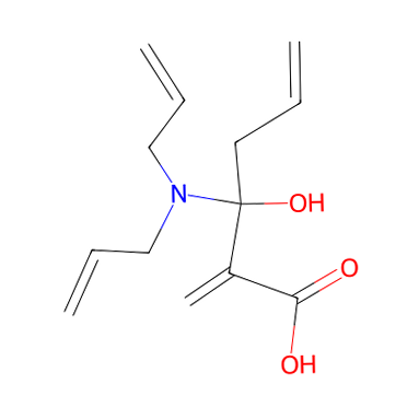 C=CCN(CC=C)C(O)(CC=C)C(=C)C(=O)O